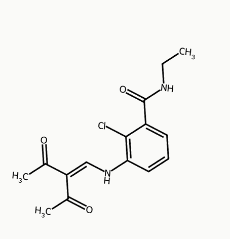 CCNC(=O)c1cccc(NC=C(C(C)=O)C(C)=O)c1Cl